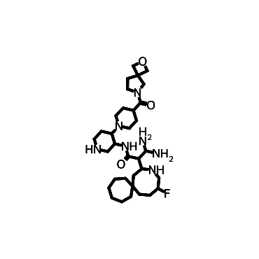 NC(N)C(C(=O)NC1CNCCC1N1CCC(C(=O)N2CCC3(COC3)C2)CC1)C1CC2(CCCCCC2)CCC(F)CN1